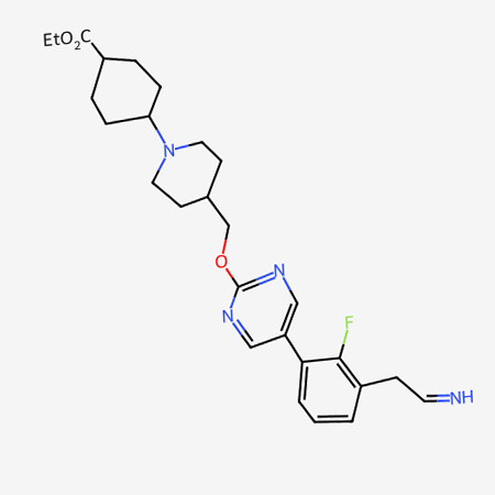 CCOC(=O)C1CCC(N2CCC(COc3ncc(-c4cccc(CC=N)c4F)cn3)CC2)CC1